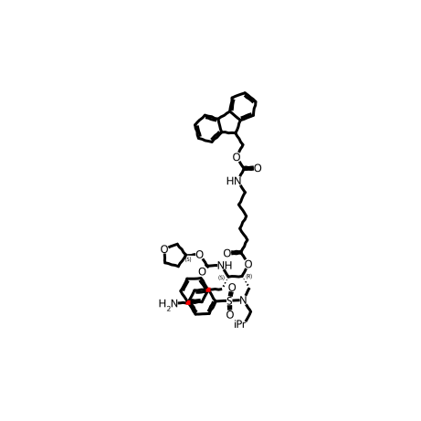 CC(C)CN(C[C@@H](OC(=O)CCCCCNC(=O)OCC1c2ccccc2-c2ccccc21)[C@H](Cc1ccccc1)NC(=O)O[C@H]1CCOC1)S(=O)(=O)c1ccc(N)cc1